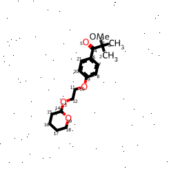 COC(C)(C)C(=O)c1ccc(OCCOC2CCCCO2)cc1